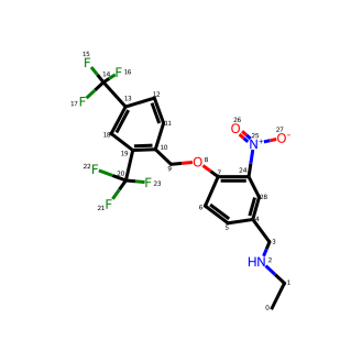 CCNCc1ccc(OCc2ccc(C(F)(F)F)cc2C(F)(F)F)c([N+](=O)[O-])c1